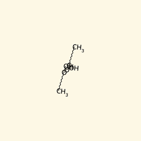 CCCCCCCCCCCCOCC(CO)OC(CO)COCCCCCCCCCCCC